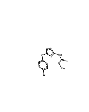 CC(C)(C)OC(=O)Nc1ncc(Oc2ccc(Br)cc2)s1